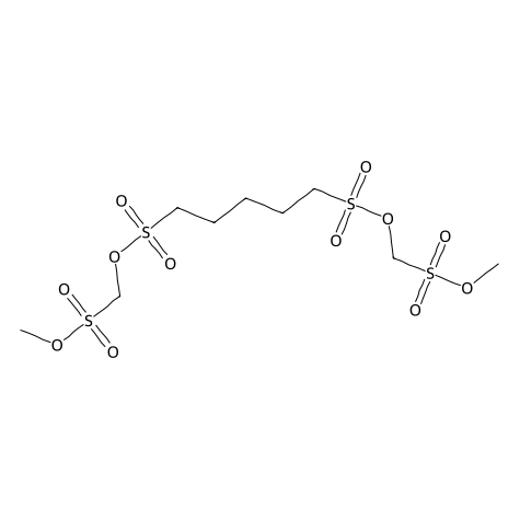 COS(=O)(=O)COS(=O)(=O)CCCCCS(=O)(=O)OCS(=O)(=O)OC